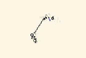 CCOC(=O)/C=C/[C@H](C[C@@H]1CCNC1=O)NC(=O)[C@H](CC(C)C)NC(=O)COCCOCCOCCOCCNc1cccc2c1C(=O)N(C1CCC(=O)NC1=O)C2=O